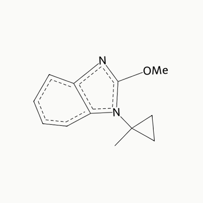 COc1nc2ccccc2n1C1(C)CC1